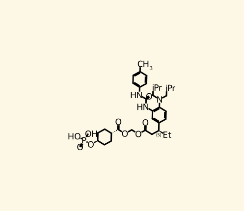 CC[C@@H](CC(=O)OCOC(=O)[C@H]1CC[C@H](OP(=O)(O)O)CC1)c1ccc(N(CC(C)C)CC(C)C)c(NC(=O)Nc2ccc(C)cc2)c1